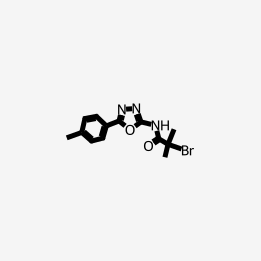 Cc1ccc(-c2nnc(NC(=O)C(C)(C)Br)o2)cc1